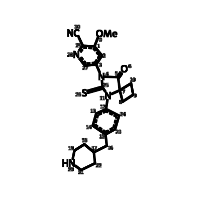 COc1cc(N2C(=O)C3(CCC3)N(c3ccc(CC4CCNCC4)cc3)C2=S)cnc1C#N